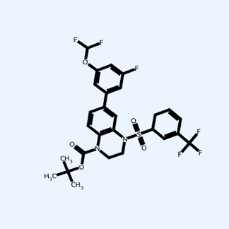 CC(C)(C)OC(=O)N1CCN(S(=O)(=O)C2C=C(C(F)(F)F)C=CC2)c2cc(-c3cc(F)cc(OC(F)F)c3)ccc21